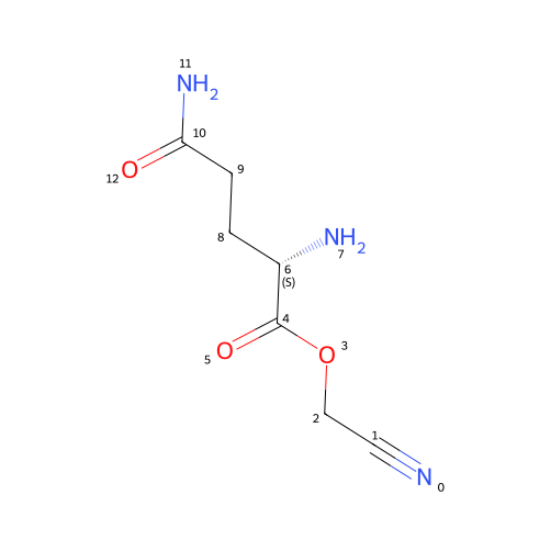 N#CCOC(=O)[C@@H](N)CCC(N)=O